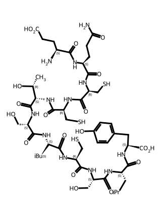 CC[C@H](C)[C@H](NC(=O)[C@H](CO)NC(=O)[C@@H](NC(=O)[C@H](CS)NC(=O)[C@H](CS)NC(=O)[C@H](CCC(N)=O)NC(=O)[C@@H](N)CCC(=O)O)[C@@H](C)O)C(=O)N[C@@H](CS)C(=O)N[C@@H](CO)C(=O)N[C@@H](CC(C)C)C(=O)N[C@@H](Cc1ccc(O)cc1)C(=O)O